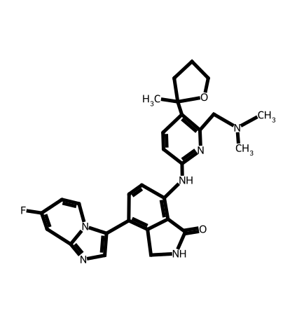 CN(C)Cc1nc(Nc2ccc(-c3cnc4cc(F)ccn34)c3c2C(=O)NC3)ccc1C1(C)CCCO1